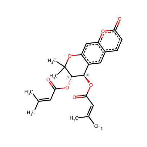 CC(C)=CC(=O)O[C@@H]1c2cc3ccc(=O)oc3cc2OC(C)(C)[C@H]1OC(=O)C=C(C)C